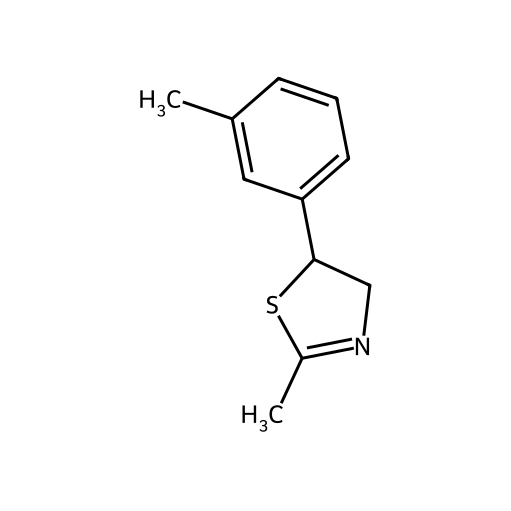 CC1=NCC(c2cccc(C)c2)S1